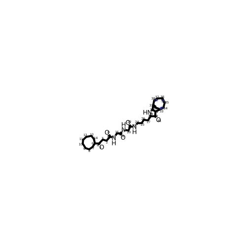 O=C(CCC(=O)C1CCCCCCCC1)NCC(=O)NCC(=O)NCCCCC1NC2C3=CC(=C/C=C\C=C/3)\C2C1=O